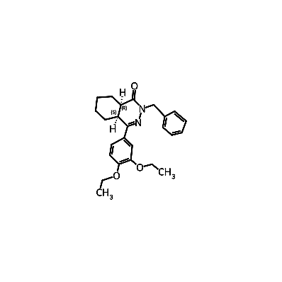 CCOc1ccc(C2=NN(Cc3ccccc3)C(=O)[C@@H]3CCCC[C@H]23)cc1OCC